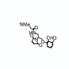 CNCC(=O)NCC(COc1cccc(C)c1C=O)N1C(=O)C=CC1=O